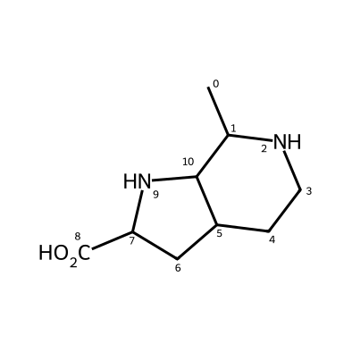 CC1NCCC2CC(C(=O)O)NC21